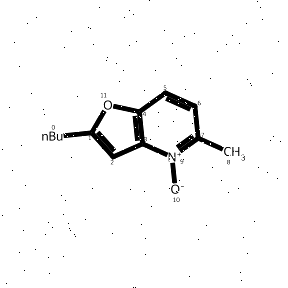 CCCCc1cc2c(ccc(C)[n+]2[O-])o1